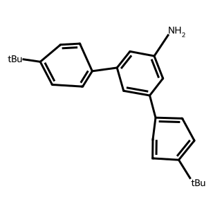 CC(C)(C)c1ccc(-c2cc(N)cc(-c3ccc(C(C)(C)C)cc3)c2)cc1